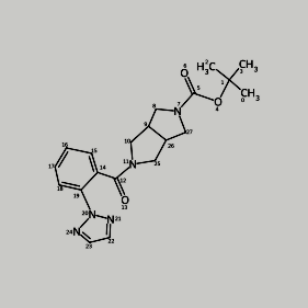 CC(C)(C)OC(=O)N1CC2CN(C(=O)c3ccccc3-n3nccn3)CC2C1